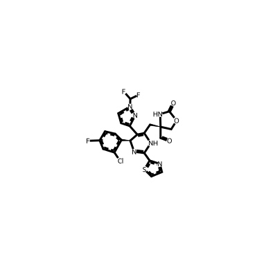 O=C[C@@]1(CC2=C(c3ccn(C(F)F)n3)[C@H](c3ccc(F)cc3Cl)N=C(c3nccs3)N2)COC(=O)N1